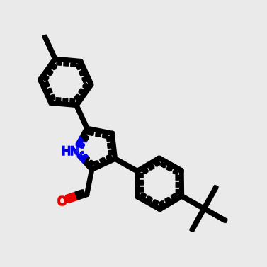 Cc1ccc(-c2cc(-c3ccc(C(C)(C)C)cc3)c(C=O)[nH]2)cc1